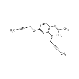 CC#CCOc1ccc(N=C(C)C)c(OCC#CC)c1